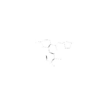 CN1CCC2=C(C1)c1ccc(O)c(O)c1CC2CC1CCCC1